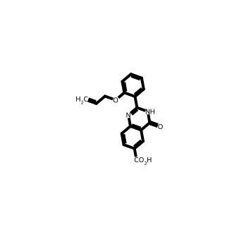 C=CCOc1ccccc1-c1nc2ccc(C(=O)O)cc2c(=O)[nH]1